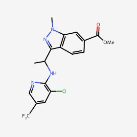 COC(=O)c1ccc2c(C(C)Nc3ncc(C(F)(F)F)cc3Cl)nn(C)c2c1